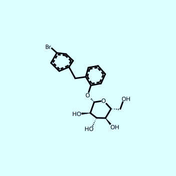 OC[C@H]1O[C@@H](Oc2ccccc2Cc2ccc(Br)cc2)[C@H](O)[C@@H](O)[C@@H]1O